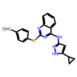 O=Cc1ccc(Sc2nc(Nc3cc(C4CC4)[nH]n3)c3ccccc3n2)cc1